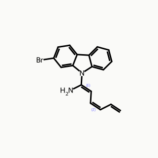 C=C/C=C\C=C(/N)n1c2ccccc2c2ccc(Br)cc21